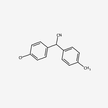 Cc1ccc(C(C#N)c2ccc(Cl)cc2)cc1